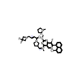 CN1CCC[C@H]1COc1nc(/[N+](C)=C\C2CCN(C(=O)/C=C/CN3CC(F)(F)C3)C2)c2cnc(-c3cccc4cccc(Cl)c34)c(F)c2n1